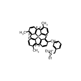 CC[NH+](CC)Cc1ccccc1.Cc1ccc(F)c([B-](c2c(F)ccc(C)c2F)(c2c(F)ccc(C)c2F)c2c(F)ccc(C)c2F)c1F